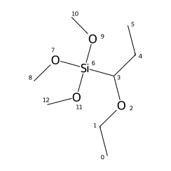 CCOC(CC)[Si](OC)(OC)OC